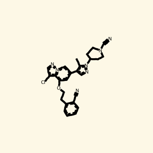 Cc1c(-c2cc(OCCc3ccccc3C#N)c3c(Cl)cnn3c2)cnn1C1CCN(C#N)CC1